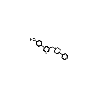 Oc1ccc(-c2cncc(CN3CC=C(c4ccccc4)CC3)c2)cc1